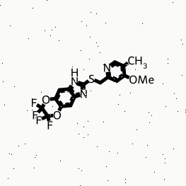 COc1cc(CSc2nc3cc4c(cc3[nH]2)OC(F)(F)C(F)(F)O4)ncc1C